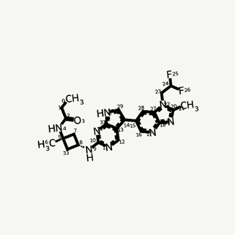 CCC(=O)N[C@]1(C)C[C@H](Nc2ncc3c(-c4cnc5nc(C)n(CC(F)F)c5c4)c[nH]c3n2)C1